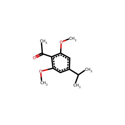 COc1cc(C(C)C)cc(OC)c1C(C)=O